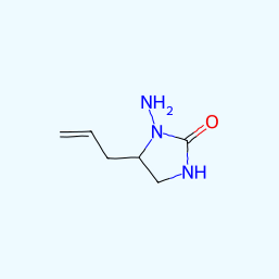 C=CCC1CNC(=O)N1N